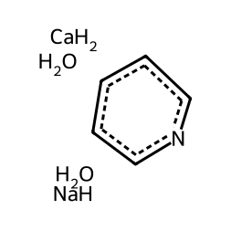 O.O.[CaH2].[NaH].c1ccncc1